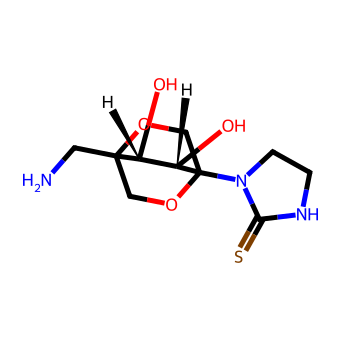 NCC12COC(N3CCNC3=S)(CO1)[C@@H](O)[C@H]2O